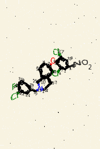 O=[N+]([O-])c1cc(Cl)c(Oc2ccc3c(c2)CCN(Cc2ccc(F)c(Cl)c2)C3)c(Cl)c1